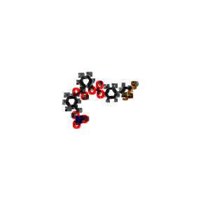 O=C(Oc1ccc(-c2cc(=S)ss2)cc1)Oc1ccccc1C(=O)Oc1cccc(CO[N+](=O)[O-])c1